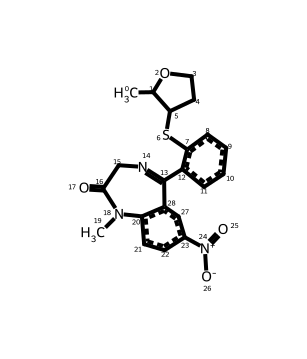 CC1OCCC1Sc1ccccc1C1=NCC(=O)N(C)c2ccc([N+](=O)[O-])cc21